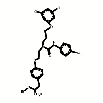 CCOC(Cc1ccc(OCCN(CCCOc2cc(Cl)cc(Cl)c2)C(=O)Nc2ccc([N+](=O)[O-])cc2)cc1)C(=O)O